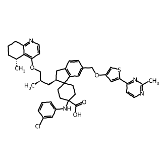 Cc1nccc(-c2cc(OCc3ccc4c(c3)C3(CCC(Nc5cccc(Cl)c5)(C(=O)O)CC3)[C@@H](C[C@@H](C)COc3ccnc5c3[C@H](C)CCC5)C4)cs2)n1